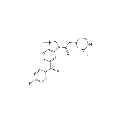 C[C@@H]1CN(CC(=O)N2CC(C)(C)c3ncc([C@@H](O)c4ccc(F)cc4)cc32)CCN1